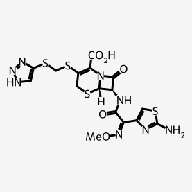 CO/N=C(\C(=O)N[C@@H]1C(=O)N2C(C(=O)O)=C(SCSc3c[nH]nn3)CS[C@@H]12)c1csc(N)n1